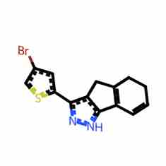 Brc1csc(-c2n[nH]c3c2CC2=C3C=CCC2)c1